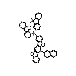 CC1(C)c2ccccc2-c2ccc(N(c3ccc4oc5c(-c6ccc7ccccc7c6)c6c(cc5c4c3)oc3ccccc36)c3cccc4c3oc3ccccc34)cc21